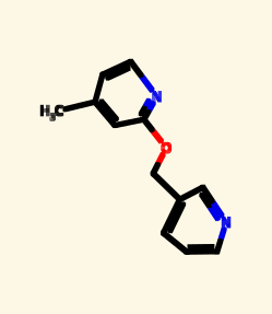 Cc1ccnc(OCc2cccnc2)c1